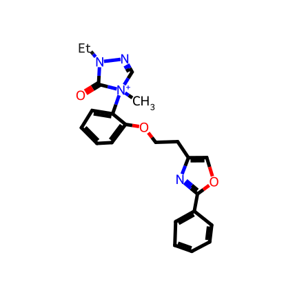 CCN1N=C[N+](C)(c2ccccc2OCCc2coc(-c3ccccc3)n2)C1=O